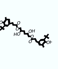 Cc1cc(CCC(=O)OCC(O)CCC(O)COC(=O)CCc2cc(C)c(O)c(C(C)(C)C)c2)cc(C(C)(C)C)c1O